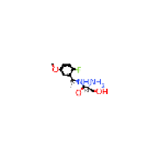 COc1ccc(F)c([C@@H](C)NC(=O)[C@H](N)CO)c1